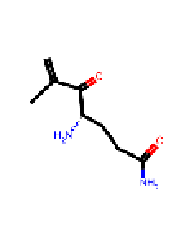 C=C(C)C(=O)[C@@H](N)CCC(N)=O